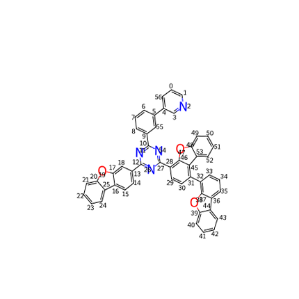 c1cncc(-c2cccc(-c3nc(-c4ccc5c(c4)oc4ccccc45)nc(-c4ccc(-c5cccc6c5oc5ccccc56)c5c4oc4ccccc45)n3)c2)c1